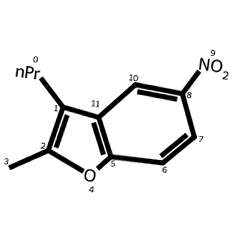 CCCc1c(C)oc2ccc([N+](=O)[O-])cc12